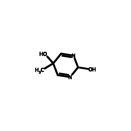 CC1(O)C=NC(O)N=C1